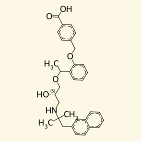 CC(OC[C@@H](O)CNC(C)(C)Cc1ccc2ccccc2c1)c1ccccc1OCc1ccc(C(=O)O)cc1